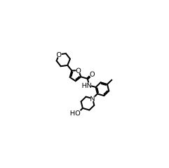 Cc1ccc(N2CCC(O)CC2)c(NC(=O)c2ccc(C3CCOCC3)o2)c1